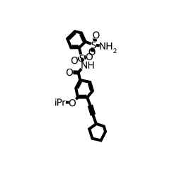 CC(C)Oc1cc(C(=O)NS(=O)(=O)c2ccccc2S(N)(=O)=O)ccc1C#CC1CCCCC1